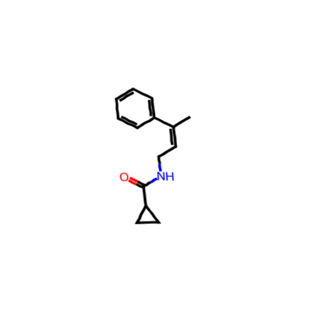 C/C(=C/CNC(=O)C1CC1)c1ccccc1